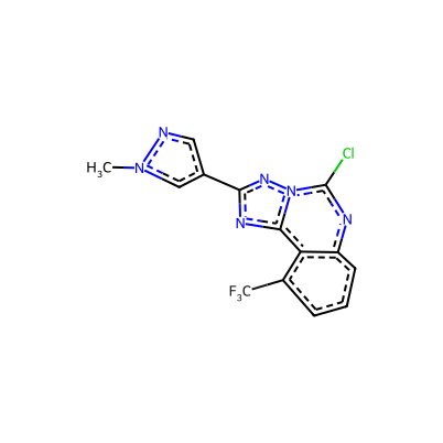 Cn1cc(-c2nc3c4c(C(F)(F)F)cccc4nc(Cl)n3n2)cn1